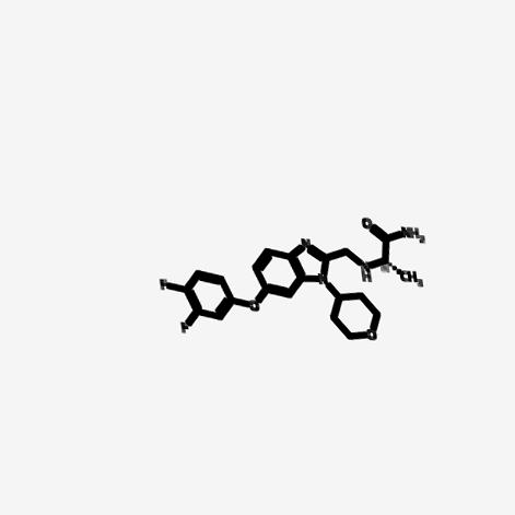 C[C@H](NCc1nc2ccc(Oc3ccc(F)c(F)c3)cc2n1C1CCOCC1)C(N)=O